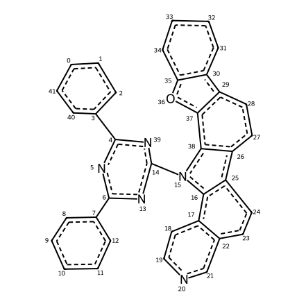 c1ccc(-c2nc(-c3ccccc3)nc(-n3c4c5ccncc5ccc4c4ccc5c6ccccc6oc5c43)n2)cc1